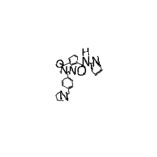 Cn1c(-c2ccc(CN3CCCC3)cc2)nc2c(C(=O)Nc3ccccn3)cccc2c1=O